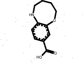 O=C(O)c1ccc2c(c1)OCCCCN2